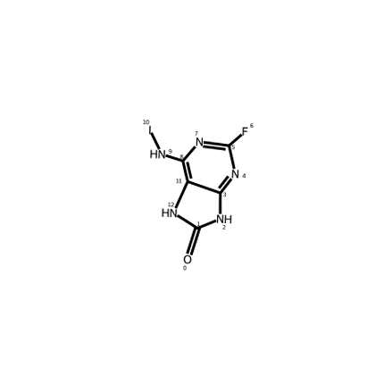 O=c1[nH]c2nc(F)nc(NI)c2[nH]1